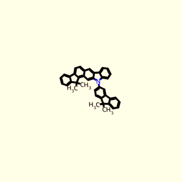 CC1(C)c2ccccc2-c2cc(-n3c4ccccc4c4cc5ccc6c(c5cc43)C(C)(C)c3ccccc3-6)ccc21